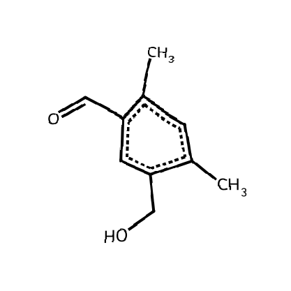 Cc1cc(C)c(CO)cc1C=O